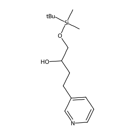 CC(C)(C)[Si](C)(C)OCC(O)CCc1cccnc1